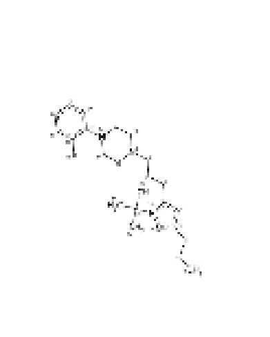 CCCc1cc(CCCN2CCN(c3ccccc3F)CC2)n(C(C)(C)C)n1